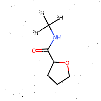 [2H]C([2H])([2H])NC(=O)C1CCCO1